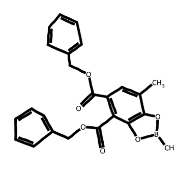 CB1Oc2c(C)cc(C(=O)OCc3ccccc3)c(C(=O)OCc3ccccc3)c2O1